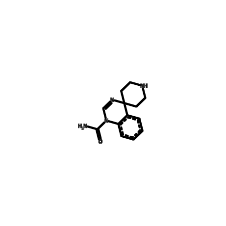 NC(=O)N1C=NC2(CCNCC2)c2ccccc21